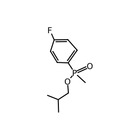 CC(C)COP(C)(=O)c1ccc(F)cc1